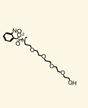 CN(CCOCCOCCOCCOCCO)S(=O)(=O)c1ccccc1[N+](=O)[O-]